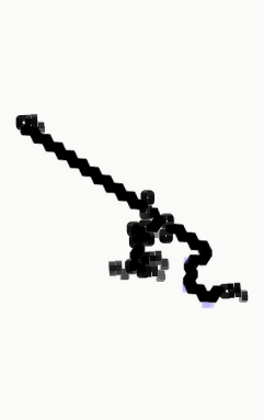 CC/C=C\C/C=C\C/C=C\C/C=C\CCCCC(=O)O[C@H](COC(=O)CCCCCCCCCCCCCCCCCCCC)COP(=O)([O-])OCC[N+](C)(C)C